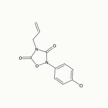 C=CCn1c(=O)on(-c2ccc(Cl)cc2)c1=O